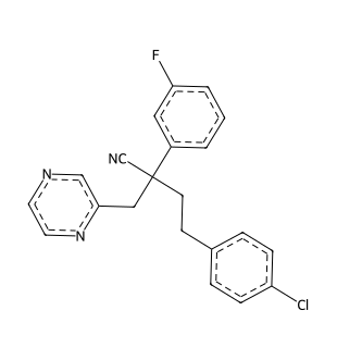 N#CC(CCc1ccc(Cl)cc1)(Cc1cnccn1)c1cccc(F)c1